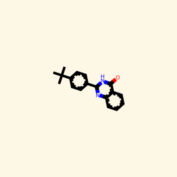 CC(C)(C)c1ccc(-c2nc3ccccc3c(=O)[nH]2)cc1